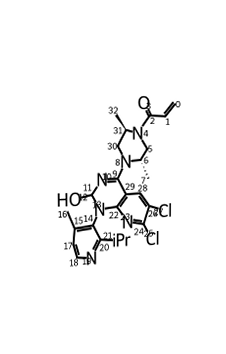 C=CC(=O)N1C[C@H](C)N(C2=NC(O)N(c3c(C)ccnc3C(C)C)c3nc(Cl)c(Cl)cc32)C[C@H]1C